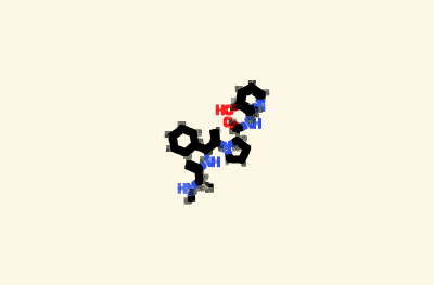 C=C(N[C@H](C(=C)N1CCC[C@H]1C(=O)Nc1ncccc1O)C1CCCCC1)[C@H](C)NC